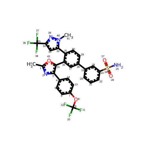 Cc1nc(-c2ccc(OC(F)(F)F)cc2)c(-c2cc(-c3cccc(S(N)(=O)=O)c3)ccc2-c2cc(C(F)(F)F)nn2C)o1